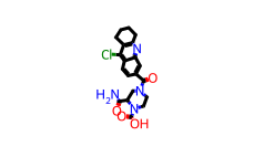 NC(=O)C1CN(C(=O)c2ccc3c(Cl)c4c(nc3c2)CCCC4)CCN1C(=O)O